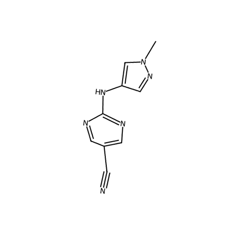 Cn1cc(Nc2ncc(C#N)cn2)cn1